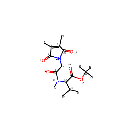 CC1=C(C)C(=O)N(CC(=O)N(C)C(C(=O)OC(C)(C)C)C(C)C)C1=O